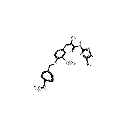 CCc1nnc(NC(=O)C(C#N)=Cc2ccc(OCc3ccc(OC(F)(F)F)cc3)c(OC)c2)s1